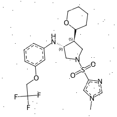 Cn1cnc(S(=O)(=O)N2C[C@H](Nc3cccc(OCC(F)(F)F)c3)[C@@H](C3CCCCO3)C2)c1